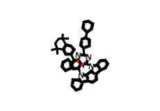 CC1(C)CCC(C)(C)c2cc(-c3ccc(-n4c5ccccc5c5ccc6c7ccccc7n(-c7nc(-c8ccccc8)nc(-c8ccc(-c9ccccc9)cc8)n7)c6c54)cc3)ccc21